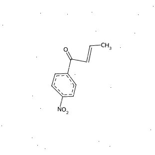 CC=CC(=O)c1ccc([N+](=O)[O-])cc1